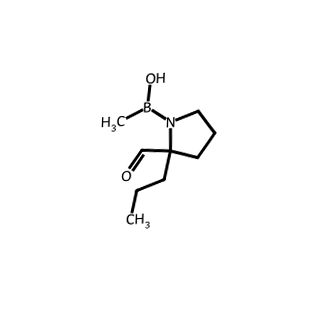 CCCC1(C=O)CCCN1B(C)O